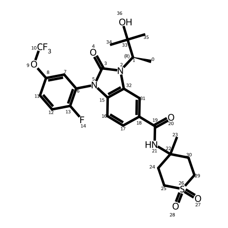 C[C@@H](n1c(=O)n(-c2cc(OC(F)(F)F)ccc2F)c2ccc(C(=O)NC3(C)CCS(=O)(=O)CC3)cc21)C(C)(C)O